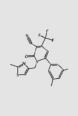 Cc1cc(C)cc(-c2cc(C(F)(F)F)c(C#N)c(=O)n2Cc2csc(C)n2)c1